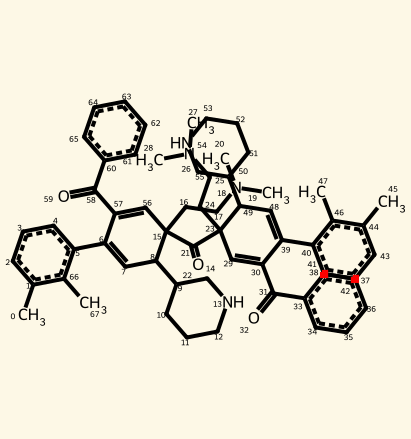 Cc1cccc(C2=CC(C3CCCNC3)C(CCN(C)C)(C(=O)C3(CCN(C)C)C=C(C(=O)c4ccccc4)C(c4cccc(C)c4C)=CC3C3CCCNC3)C=C2C(=O)c2ccccc2)c1C